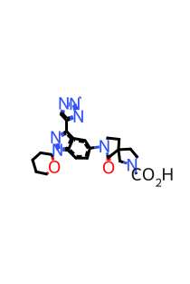 Cn1ncc(-c2nn(C3CCCCO3)c3ccc(N4CCC5(CCN(C(=O)O)C5)C4=O)cc23)n1